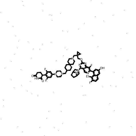 CCc1c(F)ccc2cc(O)cc(-c3ncc4c(N5CC6CCC(C5)N6)nc(OCC5(CN6CCC7(CCC(CN8CCN(c9cc(F)c(C%10CCC(=O)NC%10=O)c(F)c9)CC8)CC7)CC6)CC5)nc4c3F)c12